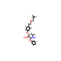 CC(C)NC(Oc1ccccc1)C(O)COc1ccc(CCOCC2CC2)cc1